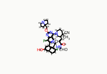 C#Cc1c(F)ccc2cc(O)cc(-c3ncc4c(N5CCC[C@](C)(C#N)[C@@H](C=CC(=O)NC=O)C5)nc(OCC56CCCN5CCC6)nc4c3F)c12